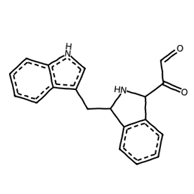 O=CC(=O)C1NC(Cc2c[nH]c3ccccc23)c2ccccc21